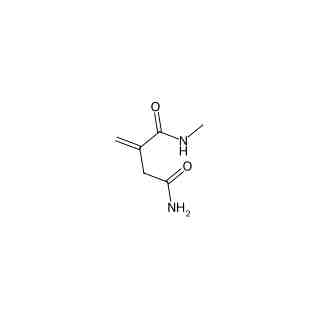 C=C(CC(N)=O)C(=O)NC